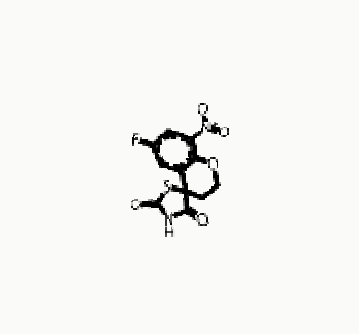 O=C1NC(=O)C2(CCOc3c([N+](=O)[O-])cc(F)cc32)S1